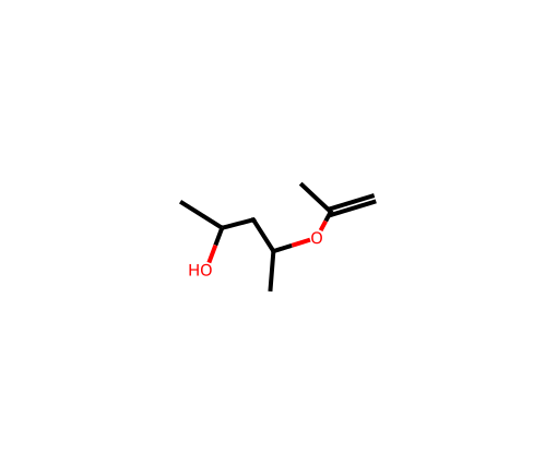 C=C(C)OC(C)CC(C)O